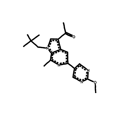 COc1ncc(-c2cc3c(C(C)=O)cn(CC(C)(C)C)c3c(C)n2)cn1